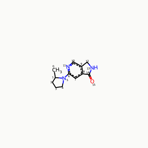 CC1CCCN1c1cc2c(cn1)CNC2=O